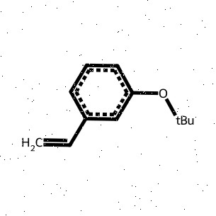 C=Cc1c[c]cc(OC(C)(C)C)c1